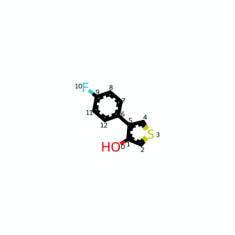 Oc1cscc1-c1ccc(F)cc1